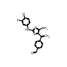 C=C(c1ccc(C=O)cc1)c1sc(Nc2ccc(Cl)c(F)c2)nc1N